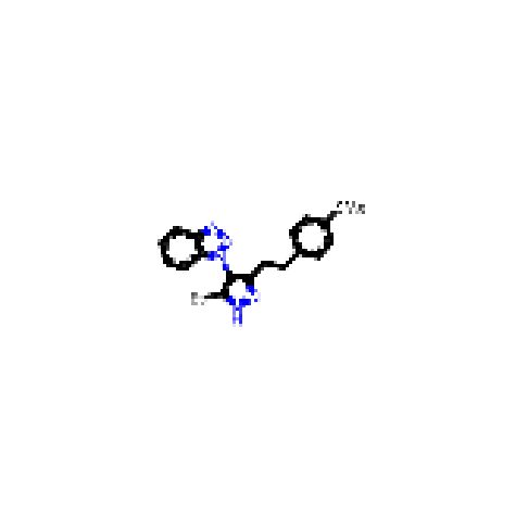 CCc1[nH]nc(CCc2ccc(SC)cc2)c1-n1nnc2ccccc21